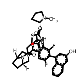 CN1CCC[C@H]1COc1nc(N2C[C@H]3CC[C@@H](C2)N3C(=O)CC2SC(=O)NC2=O)c2cc(F)c(-c3cc(O)cc4ccccc34)c(F)c2n1